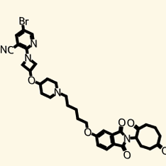 N#Cc1cc(Br)cnc1N1CC(OC2CCN(CCCCCOc3ccc4c(c3)C(=O)N(C3CCC(=O)CCCC3=O)C4=O)CC2)C1